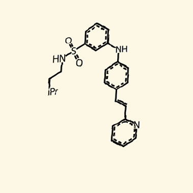 CC(C)CCNS(=O)(=O)c1cccc(Nc2ccc(/C=C/c3ccccn3)cc2)c1